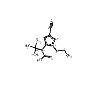 CCCn1nc(C#N)cc1N(C(=O)O)C(C)(C)C